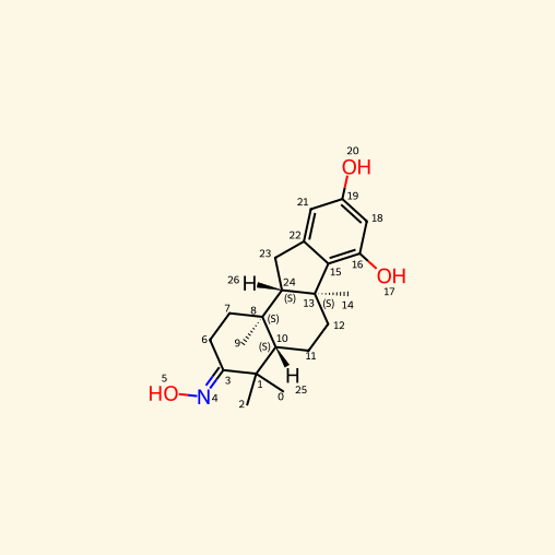 CC1(C)C(=NO)CC[C@]2(C)[C@@H]1CC[C@]1(C)c3c(O)cc(O)cc3C[C@@H]21